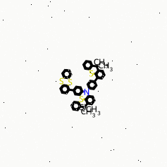 CC1(C)c2ccccc2Sc2c(-c3ccc(N(c4ccc(-c5cccc6c5Sc5ccccc5S6)cc4)c4cccc5c4Sc4ccccc4[Si]5(C)C)cc3)cccc21